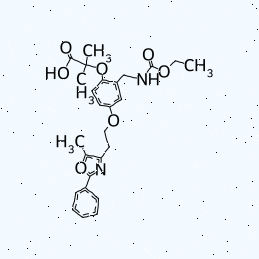 CCOC(=O)NCc1cc(OCCc2nc(-c3ccccc3)oc2C)ccc1OC(C)(C)C(=O)O